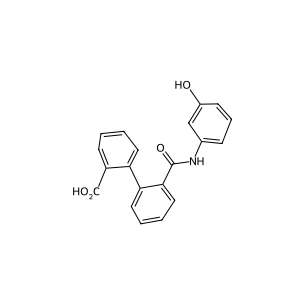 O=C(O)c1ccccc1-c1ccccc1C(=O)Nc1cccc(O)c1